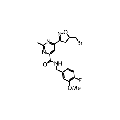 COc1cc(CNC(=O)c2cc(C3=NOC(CBr)C3)nc(C)n2)ccc1F